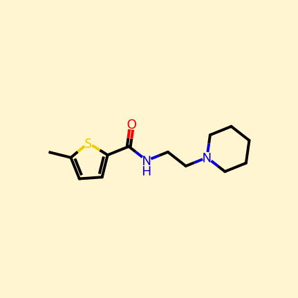 Cc1ccc(C(=O)NCCN2CCCCC2)s1